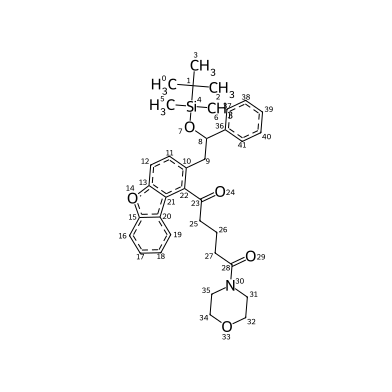 CC(C)(C)[Si](C)(C)OC(Cc1ccc2oc3ccccc3c2c1C(=O)CCCC(=O)N1CCOCC1)c1ccccc1